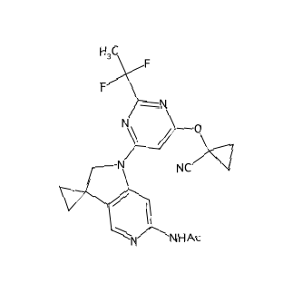 CC(=O)Nc1cc2c(cn1)C1(CC1)CN2c1cc(OC2(C#N)CC2)nc(C(C)(F)F)n1